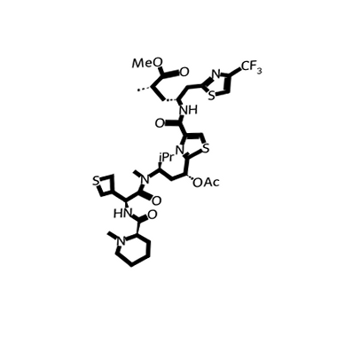 COC(=O)[C@@H](C)C[C@H](Cc1nc(C(F)(F)F)cs1)NC(=O)c1csc([C@@H](C[C@H](C(C)C)N(C)C(=O)[C@@H](NC(=O)[C@H]2CCCCN2C)C2CSC2)OC(C)=O)n1